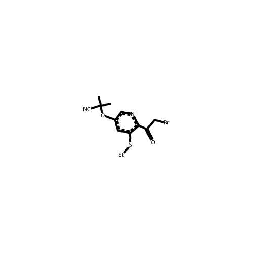 CCSc1cc(OC(C)(C)C#N)cnc1C(=O)CBr